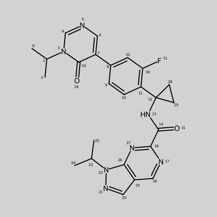 CC(C)n1cncc(-c2ccc(C3(NC(=O)c4ncc5cnn(C(C)C)c5n4)CC3)c(F)c2)c1=O